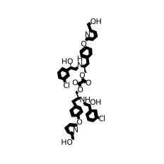 O=C(OC[C@H](Cc1ccc(Oc2cccc(CO)n2)cc1)NC[C@@H](O)c1cccc(Cl)c1)C(=O)OC[C@H](Cc1ccc(Oc2cccc(CO)n2)cc1)NC[C@@H](O)c1cccc(Cl)c1